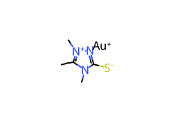 Cc1n(C)c([S-])n[n+]1C.[Au+]